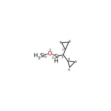 [SiH3]O[SiH]C(C1CC1)C1CC1